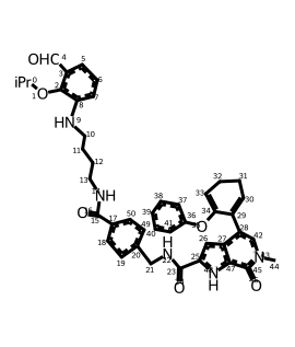 CC(C)Oc1c(C=O)cccc1NCCCCNC(=O)c1ccc(CNC(=O)c2cc3c(C4=CCCC=C4Oc4ccccc4)cn(C)c(=O)c3[nH]2)cc1